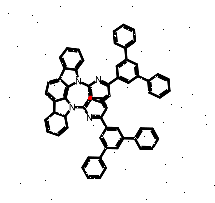 C1=CC2c3ccc4c5ccccc5n(-c5cccc(-c6cc(-c7ccccc7)cc(-c7ccccc7)c6)n5)c4c3N(c3cccc(-c4cc(-c5ccccc5)cc(-c5ccccc5)c4)n3)C2C=C1